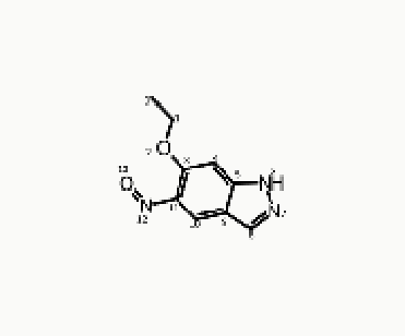 CCOc1cc2[nH]ncc2cc1N=O